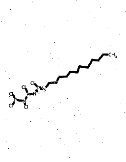 CCCCCCCCCCCCS/[PH](Cl)=N/P(Cl)N(Cl)P(Cl)Cl